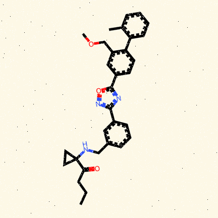 CCCC(=O)C1(NCc2cccc(-c3noc(-c4ccc(-c5ccccc5C)c(COC)c4)n3)c2)CC1